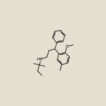 CCC(C)(C)NCCC(c1ccccc1)c1cc(C)ccc1OC